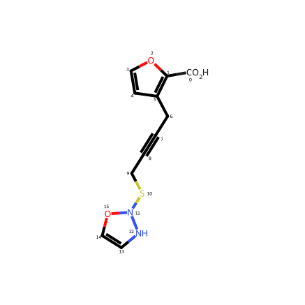 O=C(O)c1occc1CC#CCSN1NC=CO1